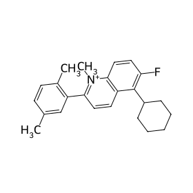 Cc1ccc(C)c(-c2ccc3c(C4CCCCC4)c(F)ccc3[n+]2C)c1